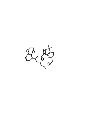 CCCCCC(CC(=O)Nc1cc(CBr)ccc1C(C)(C)C)c1cccc2c1OCCO2